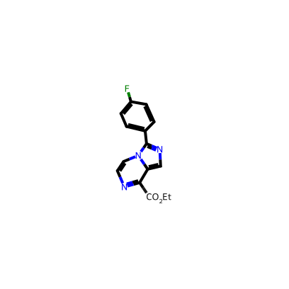 CCOC(=O)c1nccn2c(-c3ccc(F)cc3)ncc12